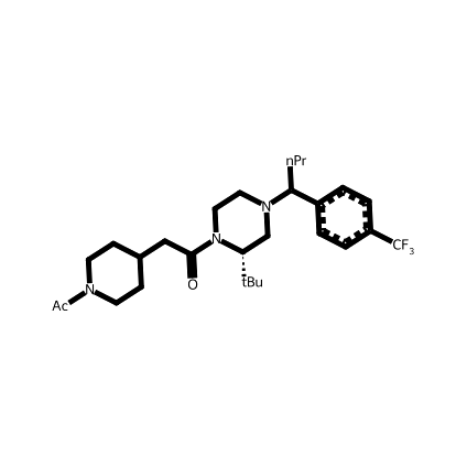 CCCC(c1ccc(C(F)(F)F)cc1)N1CCN(C(=O)CC2CCN(C(C)=O)CC2)[C@@H](C(C)(C)C)C1